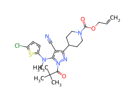 C=CCOC(=O)N1CCC(c2nn(C(=O)C(C)(C)C)c(N(C)c3ccc(Cl)s3)c2C#N)CC1